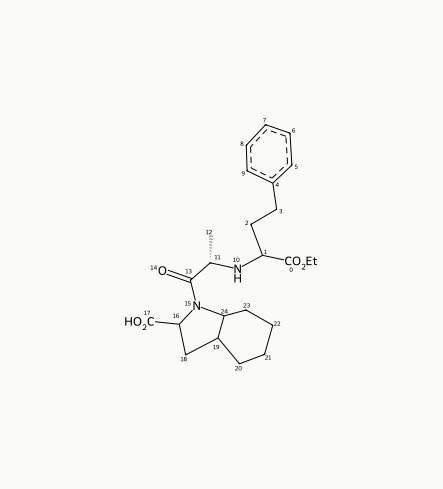 CCOC(=O)C(CCc1ccccc1)N[C@@H](C)C(=O)N1C(C(=O)O)CC2CCCCC21